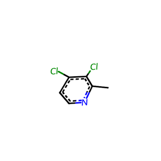 Cc1nccc(Cl)c1Cl